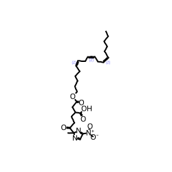 CCCCC/C=C\C/C=C\C/C=C\CCCCCOC(=O)CC(CCC(=O)C1(C)N=CC([N+](=O)[O-])=N1)C(=O)O